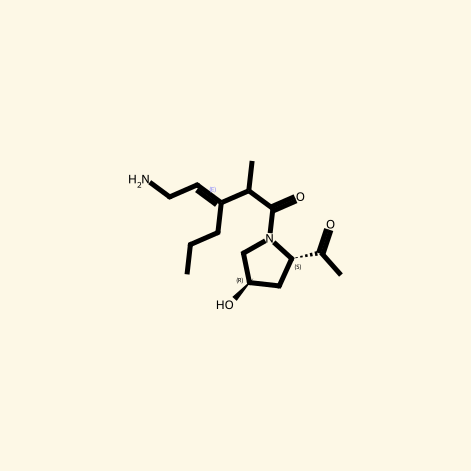 CCC/C(=C\CN)C(C)C(=O)N1C[C@H](O)C[C@H]1C(C)=O